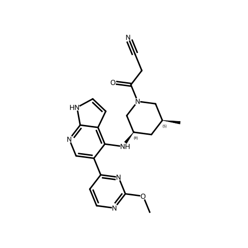 COc1nccc(-c2cnc3[nH]ccc3c2N[C@@H]2C[C@H](C)CN(C(=O)CC#N)C2)n1